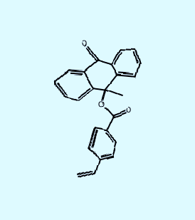 C=Cc1ccc(C(=O)OC2(C)c3ccccc3C(=O)c3ccccc32)cc1